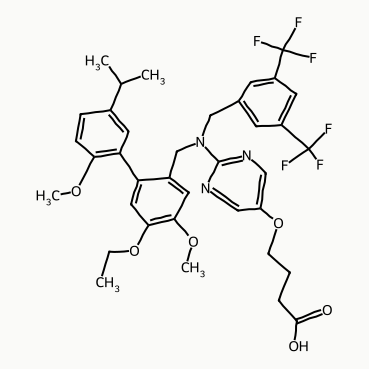 CCOc1cc(-c2cc(C(C)C)ccc2OC)c(CN(Cc2cc(C(F)(F)F)cc(C(F)(F)F)c2)c2ncc(OCCCC(=O)O)cn2)cc1OC